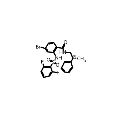 C[C@@H](CNC(=O)c1ccc(Br)cc1NS(=O)(=O)c1c(F)cccc1F)c1ccccc1